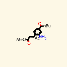 CC(N)=O.CCCCC(=O)c1ccc(CCC(=O)OC)cc1